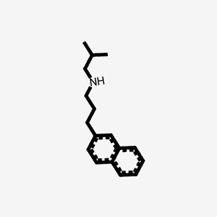 CC(C)CNCCCc1ccc2ccccc2c1